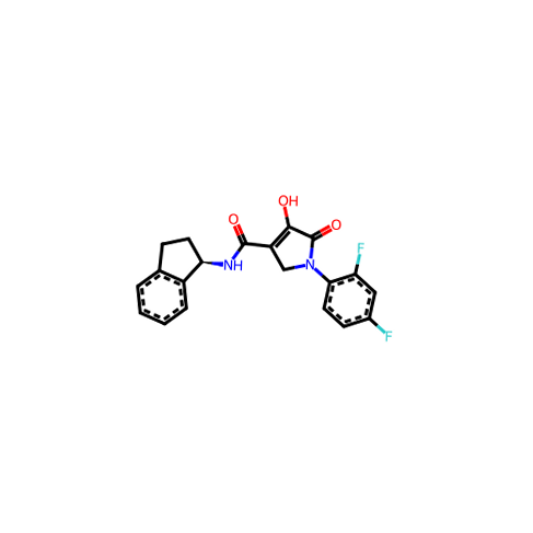 O=C(N[C@@H]1CCc2ccccc21)C1=C(O)C(=O)N(c2ccc(F)cc2F)C1